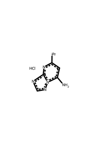 CC(C)c1cc(N)n2ncnc2n1.Cl